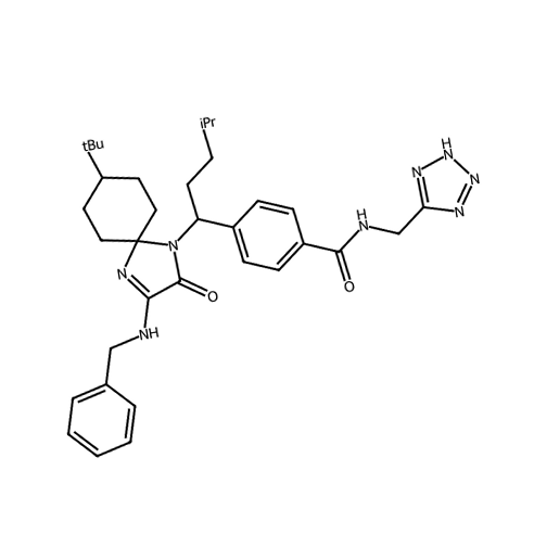 CC(C)CCC(c1ccc(C(=O)NCc2nn[nH]n2)cc1)N1C(=O)C(NCc2ccccc2)=NC12CCC(C(C)(C)C)CC2